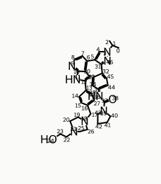 CC(C)n1cc(-c2ccnc3[nH]c(-c4ccc(CN5CCN(CCO)CC5)cc4)cc23)c(-c2ccc(NC(=O)N3CCCC3)cc2)n1